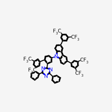 FC(F)(F)c1cc(-c2ccc3c(c2)c2cc(-c4cc(C(F)(F)F)cc(C(F)(F)F)c4)ccc2n3-c2ccc(-c3cc(C(F)(F)F)cc(C(F)(F)F)c3)c(-c3nc(-c4ccccc4)nc(-c4ccccc4)n3)c2)cc(C(F)(F)F)c1